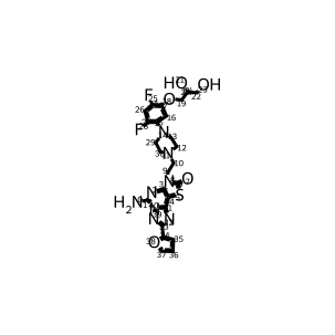 Nc1nc2c(sc(=O)n2CCN2CCN(c3cc(OC[C@H](O)CO)c(F)cc3F)CC2)c2nc(-c3ccco3)nn12